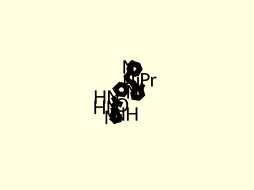 Cc1cccnc1CN(Cc1ncccc1C(C)C)[C@H]1CC[C@H](NC(=O)Nc2ncc[nH]2)CC1